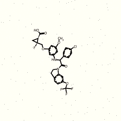 COc1cc(NC(C(=O)N2CCc3ccc(OC(F)(F)F)cc32)c2ccc(Cl)cc2)cc(OC[C@]2(F)C[C@H]2C(=O)O)c1